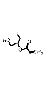 C=CC(=O)OC(CO)CI